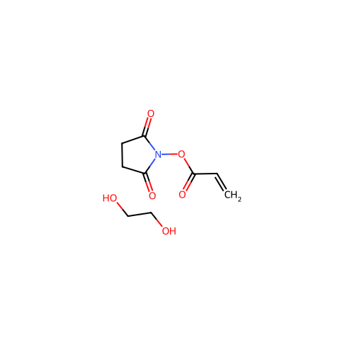 C=CC(=O)ON1C(=O)CCC1=O.OCCO